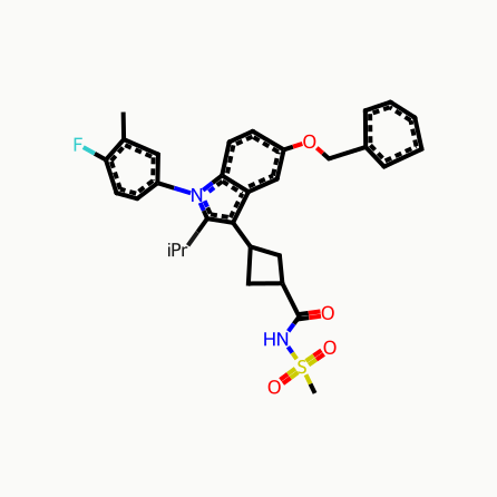 Cc1cc(-n2c(C(C)C)c(C3CC(C(=O)NS(C)(=O)=O)C3)c3cc(OCc4ccccc4)ccc32)ccc1F